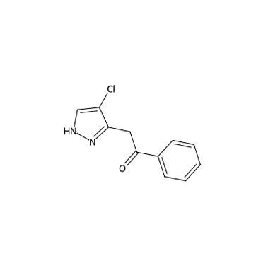 O=C(Cc1n[nH]cc1Cl)c1ccccc1